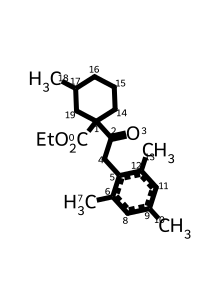 CCOC(=O)C1(C(=O)Cc2c(C)cc(C)cc2C)CCCC(C)C1